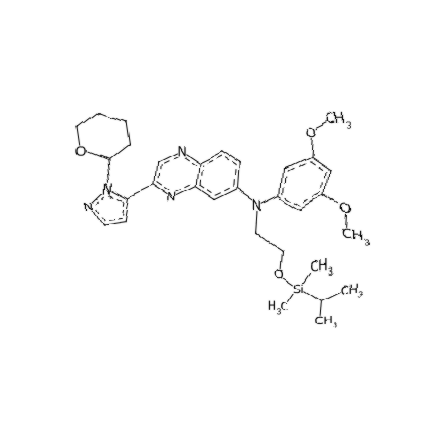 COc1cc(OC)cc(N(CCO[Si](C)(C)C(C)C)c2ccc3ncc(-c4ccnn4C4CCCCO4)nc3c2)c1